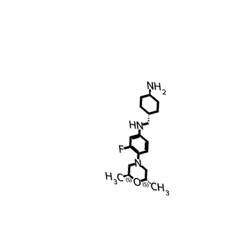 C[C@H]1CN(c2ccc(NC[C@H]3CC[C@H](N)CC3)cc2F)C[C@H](C)O1